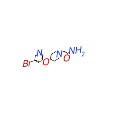 NC(=O)CN1CCC(Oc2cncc(Br)c2)CC1